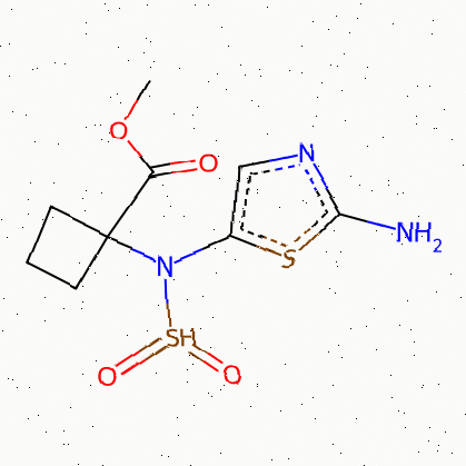 COC(=O)C1(N(c2cnc(N)s2)[SH](=O)=O)CCC1